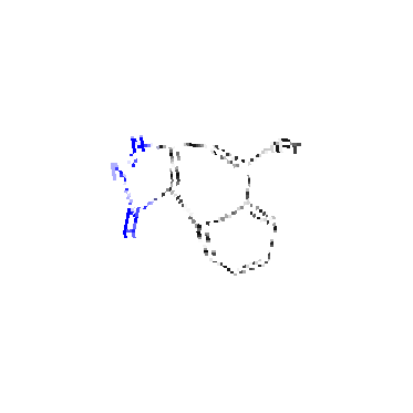 CCCc1cc2nn[nH]c2c2ccccc12